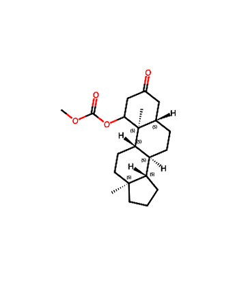 COC(=O)OC1CC(=O)C[C@@H]2CC[C@H]3[C@@H]4CCC[C@@]4(C)CC[C@@H]3[C@@]12C